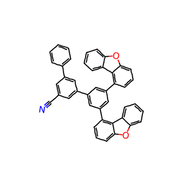 N#Cc1cc(-c2ccccc2)cc(-c2cc(-c3cccc4oc5ccccc5c34)cc(-c3cccc4oc5ccccc5c34)c2)c1